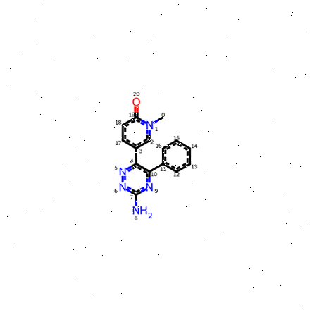 Cn1cc(-c2nnc(N)nc2-c2ccccc2)ccc1=O